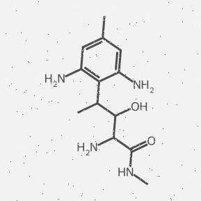 CNC(=O)C(N)C(O)C(C)c1c(N)cc(C)cc1N